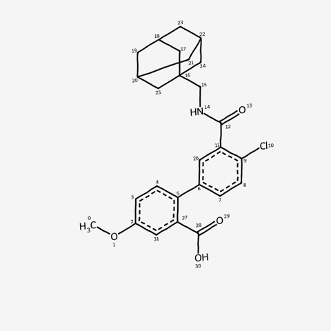 COc1ccc(-c2ccc(Cl)c(C(=O)NCC34CC5CC(CC(C5)C3)C4)c2)c(C(=O)O)c1